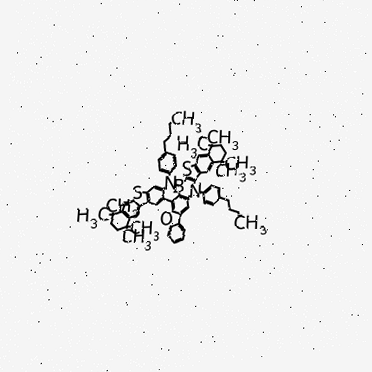 CCCCc1ccc(N2B3c4sc5cc6c(cc5c4N(c4ccc(CCCC)cc4)c4cc5c(oc7ccccc75)c(c43)-c3cc4c(cc32)sc2cc3c(cc24)C(C)(C)CCC3(C)C)C(C)(C)CCC6(C)C)cc1